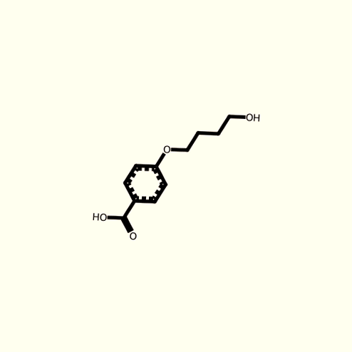 O=C(O)c1ccc(OCCCCO)cc1